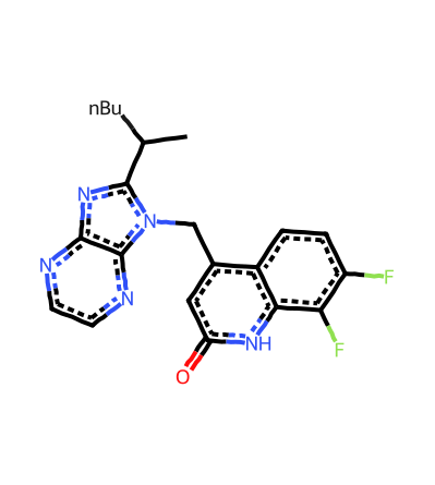 CCCCC(C)c1nc2nccnc2n1Cc1cc(=O)[nH]c2c(F)c(F)ccc12